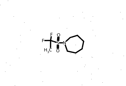 CC(F)(F)S(=O)(=O)N1CCCCCC1